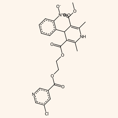 COC(=O)C1=C(C)NC(C)=C(C(=O)OCCOC(=O)c2cncc(Cl)c2)C1c1ccccc1[N+](=O)[O-]